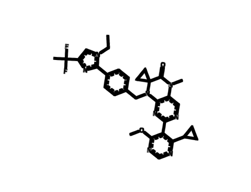 CCn1cc(C(C)(F)F)nc1-c1ccc(CN2c3nc(-c4c(OC)ncnc4C4CC4)ncc3N(C)C(=O)C23CC3)cc1